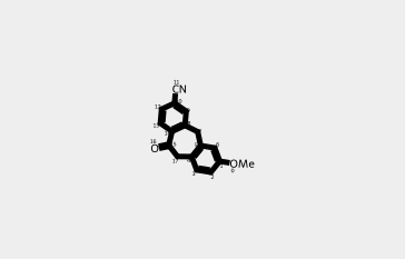 COc1ccc2c(c1)Cc1cc(C#N)ccc1C(=O)C2